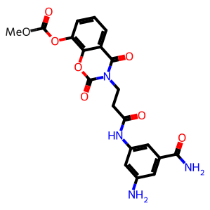 COC(=O)Oc1cccc2c(=O)n(CCC(=O)Nc3cc(N)cc(C(N)=O)c3)c(=O)oc12